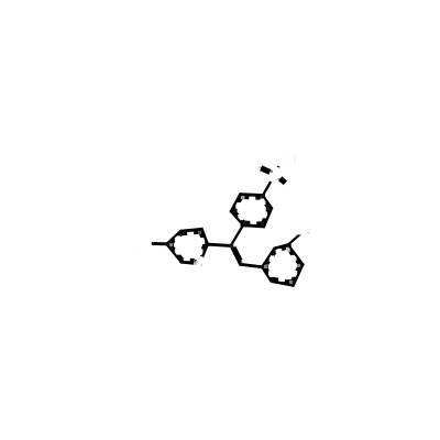 Cc1ccc(/C(=C/c2cccc(Br)c2)c2ccc(S(C)(=O)=O)cc2)nc1